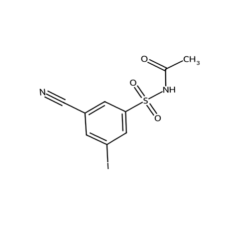 CC(=O)NS(=O)(=O)c1cc(I)cc(C#N)c1